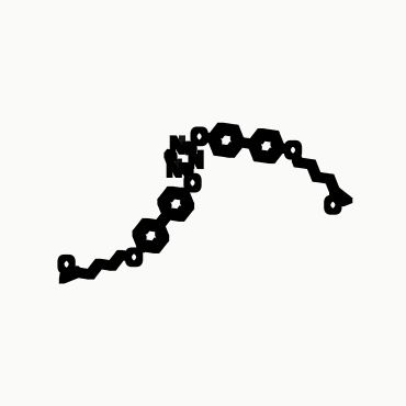 c1nc(Oc2ccc(-c3ccc(OCCCCC4CO4)cc3)cc2)nc(Oc2ccc(-c3ccc(OCCCCC4CO4)cc3)cc2)n1